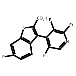 CCc1ncc(F)c(-c2c(C(=O)O)sc3cc(F)ccc23)c1F